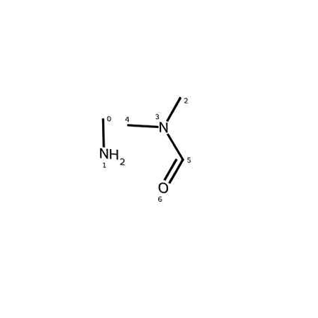 CN.CN(C)C=O